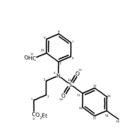 CCOC(=O)CCCN(c1ccccc1C=O)S(=O)(=O)c1ccc(C)cc1